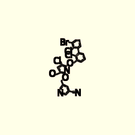 N#Cc1cncc(COc2nc(OCc3cccc(-c4cccc(Br)c4Cl)c3Cl)c(Cl)cc2C=O)c1